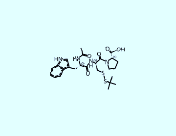 CC(=O)N[C@@H](Cc1c[nH]c2ccccc12)C(=O)N[C@H](CSSC(C)(C)C)C(=O)N1CCC[C@H]1C(=O)O